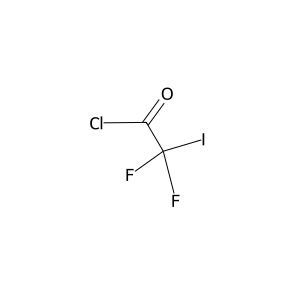 O=C(Cl)C(F)(F)I